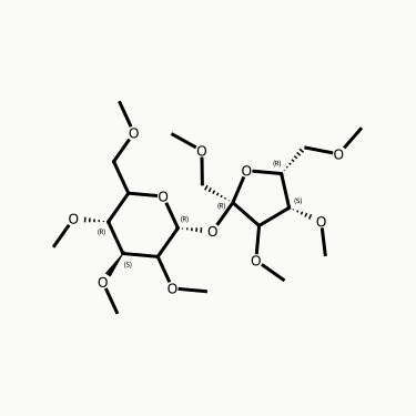 COCC1O[C@H](O[C@@]2(COC)O[C@H](COC)[C@H](OC)C2OC)C(OC)[C@@H](OC)[C@@H]1OC